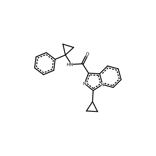 O=C(NC1(c2ccccc2)CC1)c1nc(C2CC2)n2ccccc12